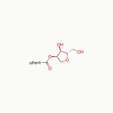 CCCCCC(=O)O[C@@H]1CO[C@@H](CO)[C@@H]1O